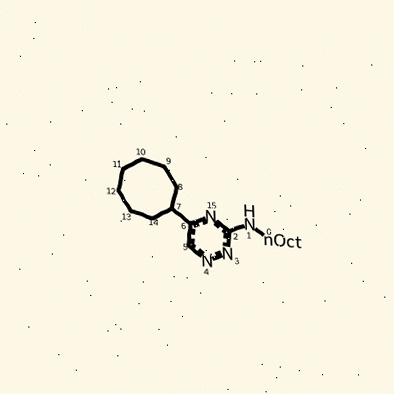 CCCCCCCCNc1nncc(C2CCCCCCC2)n1